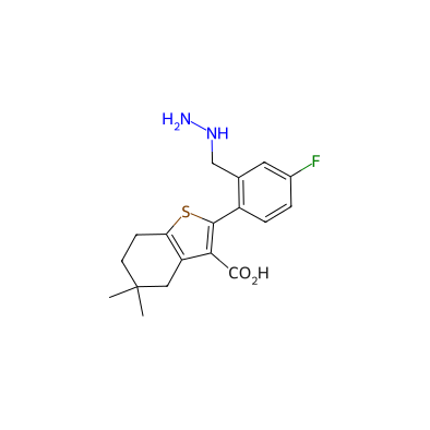 CC1(C)CCc2sc(-c3ccc(F)cc3CNN)c(C(=O)O)c2C1